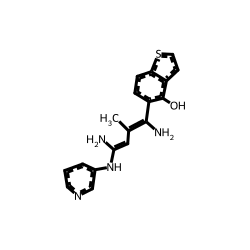 CC(/C=C(\N)Nc1cccnc1)=C(/N)c1ccc2sccc2c1O